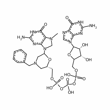 CN1CN(C2CN(Cc3ccccc3)C[C@@H](COP(=O)(O)OP(=O)(O)OP(=O)(O)OCC3OC(n4cnc5c(=O)[nH]c(N)nc54)[C@H](O)[C@@H]3O)O2)c2nc(N)[nH]c(=O)c21